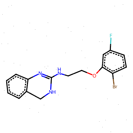 Fc1ccc(Br)c(OCCNC2=Nc3ccccc3CN2)c1